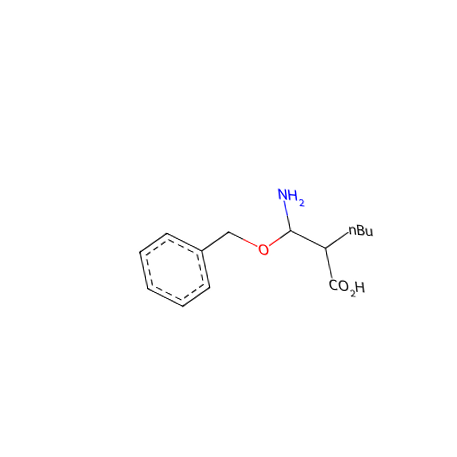 CCCCC(C(=O)O)C(N)OCc1ccccc1